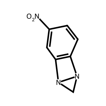 O=[N+]([O-])c1ccc2c(c1)n1n2C1